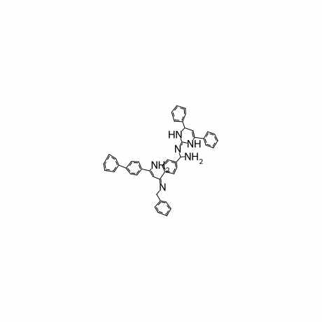 N/C(=C\C(=N/Cc1ccccc1)c1ccc(C(N)/N=C2\NC(c3ccccc3)=CC(c3ccccc3)N2)cc1)c1ccc(-c2ccccc2)cc1